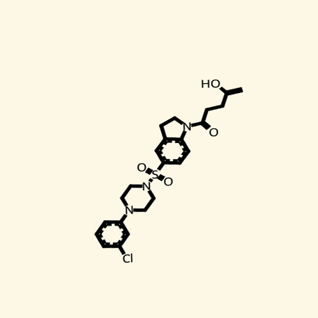 C=C(O)CCC(=O)N1CCc2cc(S(=O)(=O)N3CCN(c4cccc(Cl)c4)CC3)ccc21